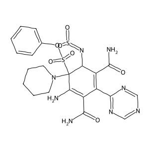 NC(=O)C1=C(N)C(N2CCCCC2)(S(=O)(=O)Oc2ccccc2)C(N=S(=O)=O)C(C(N)=O)=C1c1ncncn1